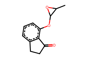 CC1OC1Oc1cccc2c1C(=O)CC2